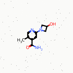 Cc1cnc(N2CC(O)C2)cc1C(N)=O